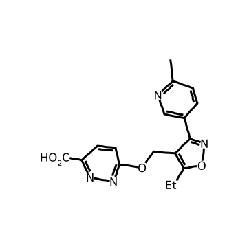 CCc1onc(-c2ccc(C)nc2)c1COc1ccc(C(=O)O)nn1